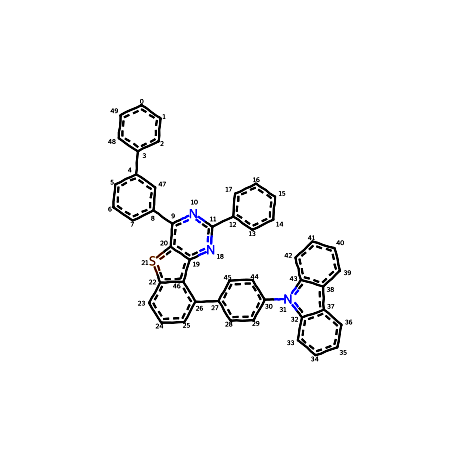 c1ccc(-c2cccc(-c3nc(-c4ccccc4)nc4c3sc3cccc(-c5ccc(-n6c7ccccc7c7ccccc76)cc5)c34)c2)cc1